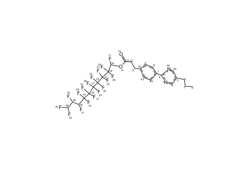 CCCc1cnc(-c2ccc(CCC(=O)OC(F)C(F)(F)C(F)(F)C(F)(F)C(F)(F)C(F)(F)C(F)(F)C(F)C(F)C(F)F)cc2)nc1